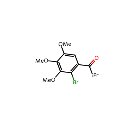 COc1cc(C(=O)C(C)C)c(Br)c(OC)c1OC